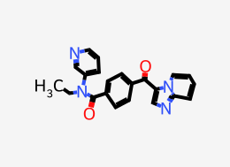 CCN(C(=O)c1ccc(C(=O)c2cnc3ccccn23)cc1)c1cccnc1